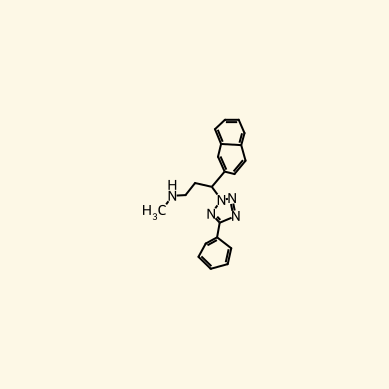 CNCCC(c1ccc2ccccc2c1)n1nnc(-c2ccccc2)n1